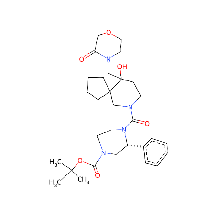 CC(C)(C)OC(=O)N1CCN(C(=O)N2CCC(O)(CN3CCOCC3=O)C3(CCCC3)C2)[C@H](c2ccccc2)C1